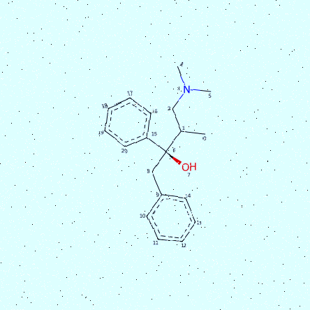 CC(CN(C)C)[C@](O)(Cc1ccccc1)c1ccccc1